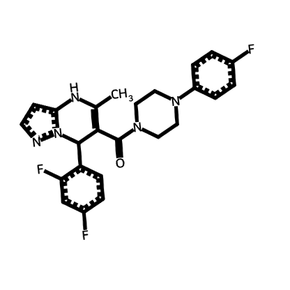 CC1=C(C(=O)N2CCN(c3ccc(F)cc3)CC2)C(c2ccc(F)cc2F)n2nccc2N1